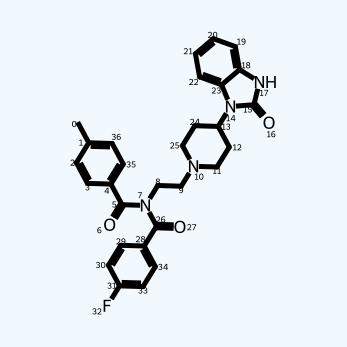 Cc1ccc(C(=O)N(CCN2CCC(n3c(=O)[nH]c4ccccc43)CC2)C(=O)c2ccc(F)cc2)cc1